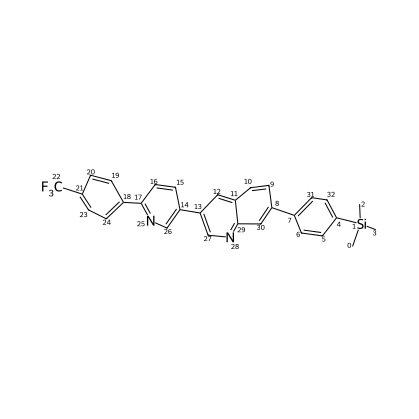 C[Si](C)(C)c1ccc(-c2ccc3cc(-c4ccc(-c5ccc(C(F)(F)F)cc5)nc4)cnc3c2)cc1